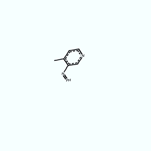 Cc1ccncc1N=P